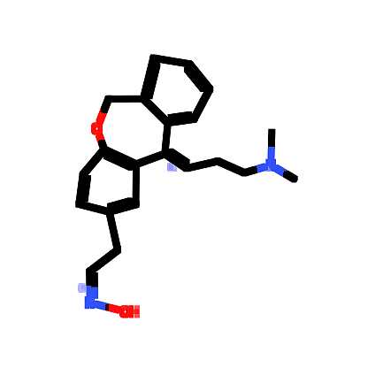 CN(C)CC/C=C1\c2ccccc2COc2ccc(C/C=N\O)cc21